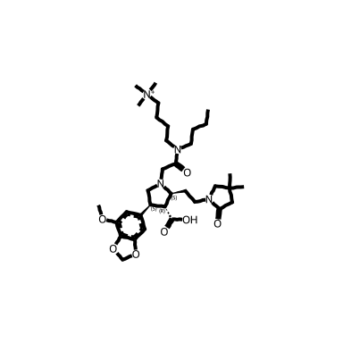 CCCCN(CCCC[N+](C)(C)C)C(=O)CN1C[C@H](c2cc(OC)c3c(c2)OCO3)[C@@H](C(=O)O)[C@@H]1CCN1CC(C)(C)CC1=O